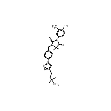 CC(C)(N)CCc1cn(-c2ccc(CN3C(=S)N(c4ccc(C#N)c(C(F)(F)F)c4)C(=O)C3(C)C)cc2)nn1